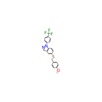 COc1ccc(CSc2ccc3c(cnn3-c3ccc(C(F)(F)F)cc3)c2)cc1